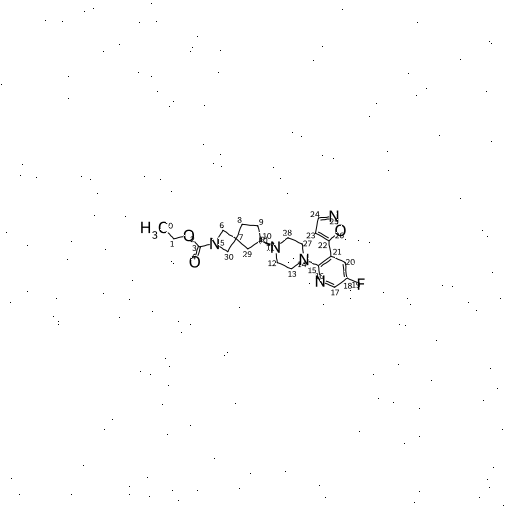 CCOC(=O)N1CC2(CC[C@@H](N3CCN(c4ncc(F)cc4-c4ccno4)CC3)C2)C1